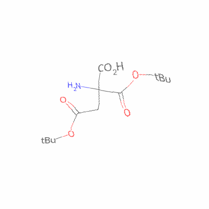 CC(C)(C)OC(=O)CC(N)(C(=O)O)C(=O)OC(C)(C)C